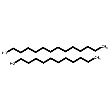 CCCCCCCCCCCCCO.CCCCCCCCCCCO